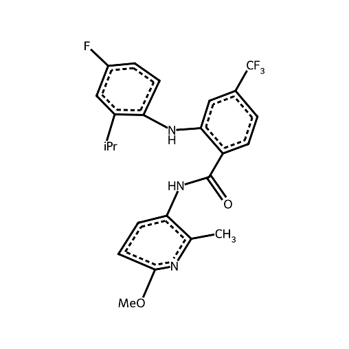 COc1ccc(NC(=O)c2ccc(C(F)(F)F)cc2Nc2ccc(F)cc2C(C)C)c(C)n1